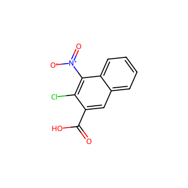 O=C(O)c1cc2ccccc2c([N+](=O)[O-])c1Cl